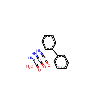 N=C=O.N=C=O.N=C=O.O.c1ccc(-c2ccccc2)cc1